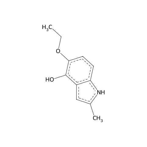 CCOc1ccc2[nH]c(C)cc2c1O